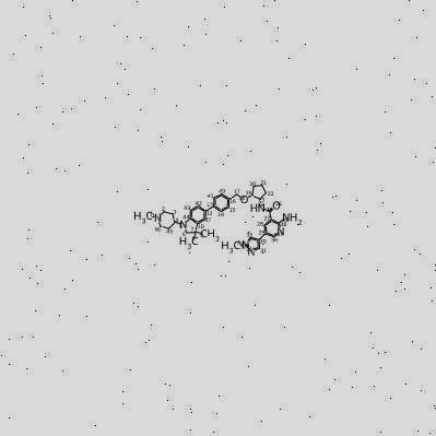 CN1CCC(N2CC(C)(C)c3cc(-c4ccc(CO[C@H]5CCC[C@@H]5NC(=O)c5cc(-c6cnn(C)c6)cnc5N)cc4)ccc32)CC1